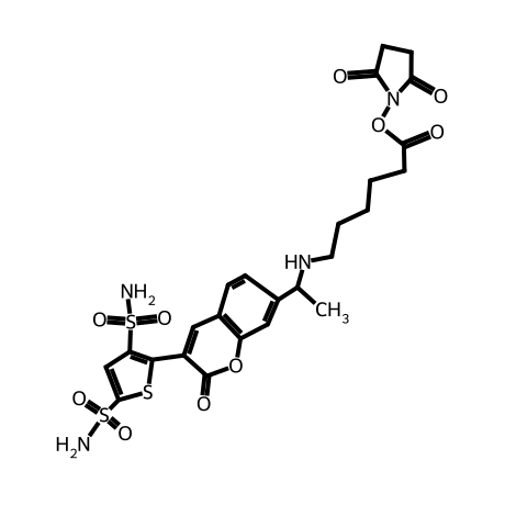 CC(NCCCCCC(=O)ON1C(=O)CCC1=O)c1ccc2cc(-c3sc(S(N)(=O)=O)cc3S(N)(=O)=O)c(=O)oc2c1